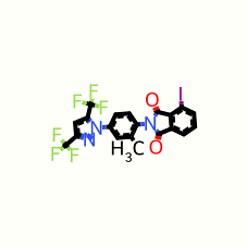 Cc1cc(-n2nc(C(F)(F)F)cc2C(F)(F)F)ccc1N1C(=O)c2cccc(I)c2C1=O